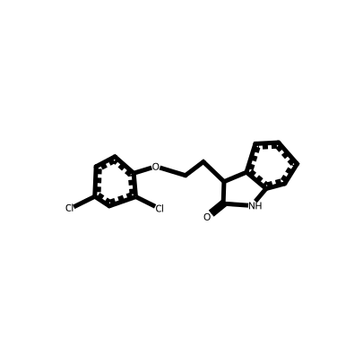 O=C1Nc2ccccc2C1CCOc1ccc(Cl)cc1Cl